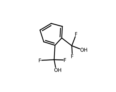 OC(F)(F)c1ccccc1C(O)(F)F